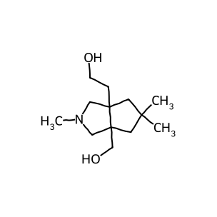 CN1CC2(CO)CC(C)(C)CC2(CCO)C1